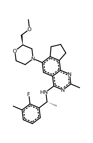 COC[C@H]1CN(c2cc3c(N[C@H](C)c4cccc(C)c4F)nc(C)nc3c3c2CCC3)CCO1